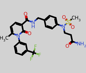 Cc1ccc(C(=O)NCc2ccc(N(CCC(N)=O)S(C)(=O)=O)cc2)c(=O)n1-c1cccc(C(F)(F)F)c1